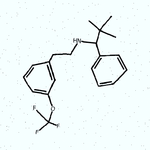 CC(C)(C)C(NCCc1cccc(OC(F)(F)F)c1)c1ccccc1